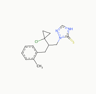 Cc1ccccc1CC(Cn1nc[nH]c1=S)C1(Cl)CC1